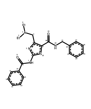 CCN(CC)Cc1nc(NC(=O)c2ccccc2)sc1C(=O)NCc1ccccc1